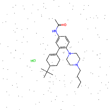 CCCCN1CCN(c2ccc(NC(C)=O)cc2C2=CCC(C(C)(C)C)CC2)CC1.Cl